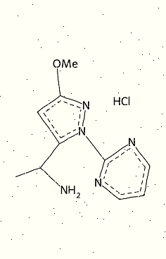 COc1cc(C(C)N)n(-c2ncccn2)n1.Cl